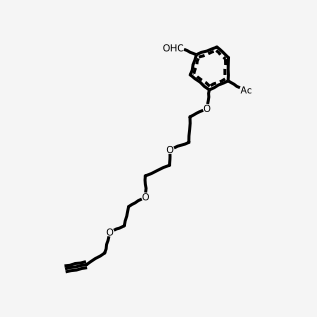 C#CCOCCOCCOCCOc1cc(C=O)ccc1C(C)=O